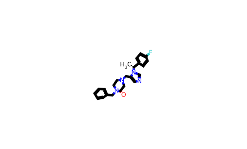 C[C@H](c1ccc(F)cc1)n1cncc1CN1CCN(Cc2ccccc2)C(=O)C1